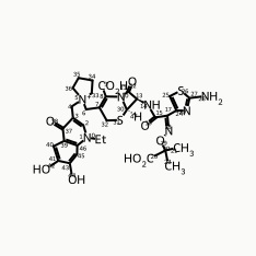 CCn1cc(C[N+]2(CC3=C(C(=O)O)N4C(=O)[C@@H](NC(=O)/C(=N\OC(C)(C)C(=O)O)c5csc(N)n5)[C@H]4SC3)CCCC2)c(=O)c2cc(O)c(O)cc21